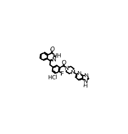 Cl.O=C(c1cc(Cc2n[nH]c(=O)c3ccccc23)ccc1F)N1CCN(c2ccc3[nH]cnc3n2)CC1